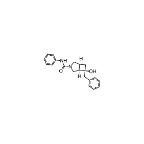 O=C(Nc1ccccc1)N1C[C@H]2C[C@](O)(Cc3ccccc3)[C@H]2C1